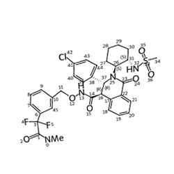 CNC(=O)C(F)(F)c1cccc(CONC(=O)[C@@H]2c3ccccc3C(=O)N([C@H]3CCCC[C@@H]3NS(C)(=O)=O)[C@H]2c2ccc(Cl)cc2)c1